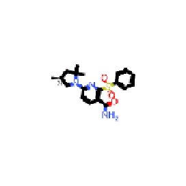 C[C@@H]1CN(c2ccc(C(N)=O)c(S(=O)(=O)c3ccccc3)n2)C(C)(C)C1